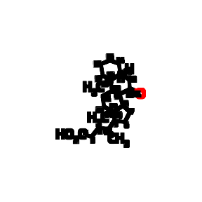 C[C@H](CCC(=O)O)C1CCC2C3C(=O)C[C@@H]4CCCC[C@]4(C)C3CC[C@@]21C